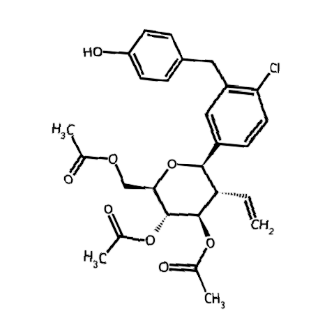 C=C[C@@H]1[C@@H](OC(C)=O)[C@H](OC(C)=O)[C@@H](COC(C)=O)O[C@H]1c1ccc(Cl)c(Cc2ccc(O)cc2)c1